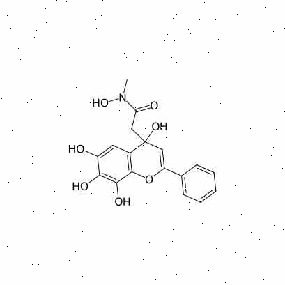 CN(O)C(=O)CC1(O)C=C(c2ccccc2)Oc2c1cc(O)c(O)c2O